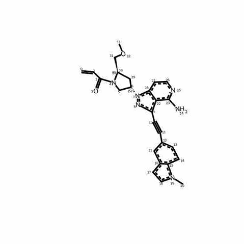 C=CC(=O)N1C[C@@H](n2nc(C#Cc3ccc4c(ccn4C)c3)c3c(N)nccc32)C[C@@H]1COC